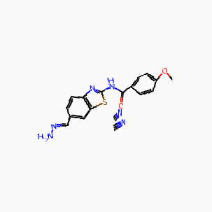 C#N.C#N.COc1ccc(C(=O)Nc2nc3ccc(C=NN)cc3s2)cc1